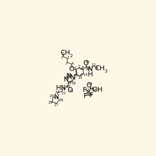 C=CCCCOc1cc(C(=O)NCC)ccc1-n1cc(C(=O)NCCN2CCCC2)nn1.O=C(O)C(F)(F)F